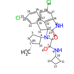 C[C@@H]1CCC(N(CC(=O)NC2CCC2)C2(Cc3cccc(Cl)c3)C(=O)Nc3cc(Cl)ccc32)C1